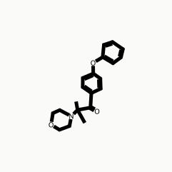 CC(C)(C(=O)c1ccc(Oc2ccccc2)cc1)N1CCOCC1